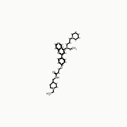 CCN1CCC(CNC(=O)CCOc2ccc(-c3cc(N(CC)CCCN4CCCCC4)c4cnccc4n3)cc2)CC1